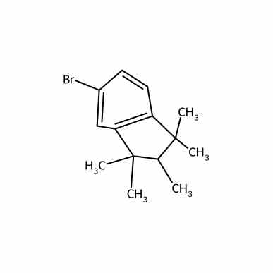 CC1C(C)(C)c2ccc(Br)cc2C1(C)C